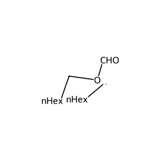 CCCCCCCOC=O.[CH2]CCCCCC